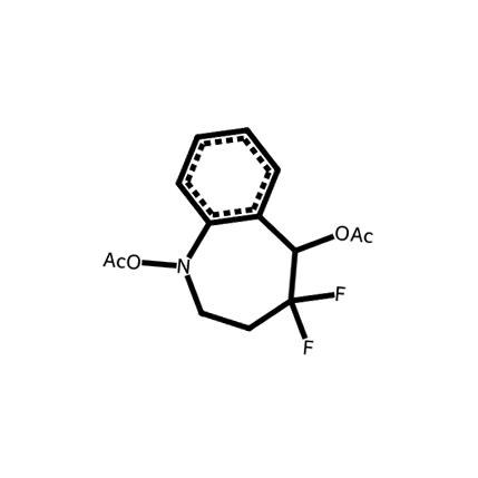 CC(=O)OC1c2ccccc2N(OC(C)=O)CCC1(F)F